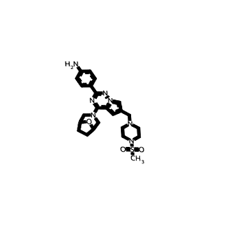 CS(=O)(=O)N1CCN(Cc2cc3c(N4CC5CCC(C4)O5)nc(-c4ccc(N)cc4)nn3c2)CC1